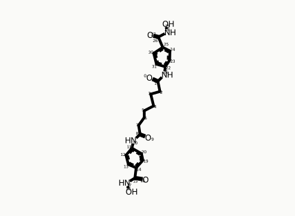 O=C(CCCCCCC(=O)Nc1ccc(C(=O)NO)cc1)Nc1ccc(C(=O)NO)cc1